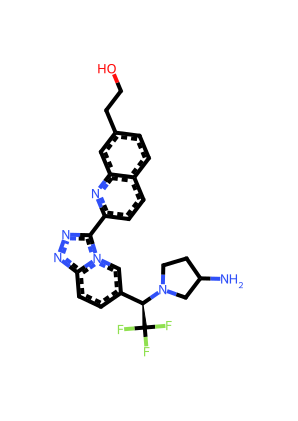 NC1CCN([C@H](c2ccc3nnc(-c4ccc5ccc(CCO)cc5n4)n3c2)C(F)(F)F)C1